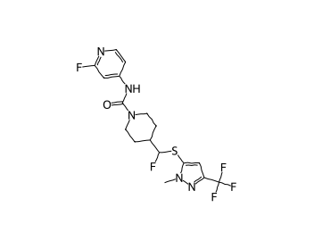 Cn1nc(C(F)(F)F)cc1SC(F)C1CCN(C(=O)Nc2ccnc(F)c2)CC1